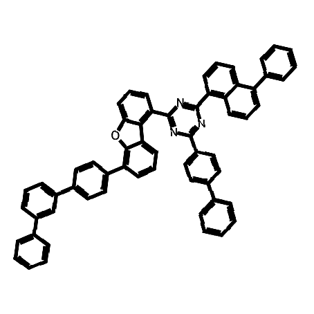 c1ccc(-c2ccc(-c3nc(-c4cccc5c(-c6ccccc6)cccc45)nc(-c4cccc5oc6c(-c7ccc(-c8cccc(-c9ccccc9)c8)cc7)cccc6c45)n3)cc2)cc1